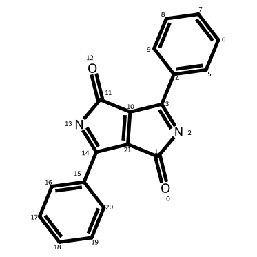 O=c1nc(-c2ccccc2)c2c(=O)nc(-c3ccccc3)c1=2